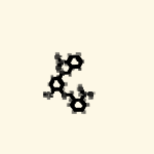 Cc1ccc(OCc2ccccc2[N+](=O)[O-])cc1OCc1ccccc1[N+](=O)[O-]